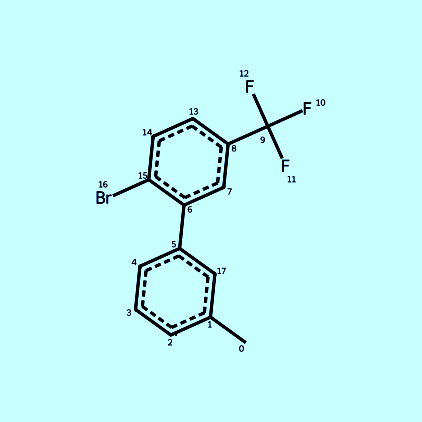 Cc1[c]ccc(-c2cc(C(F)(F)F)ccc2Br)c1